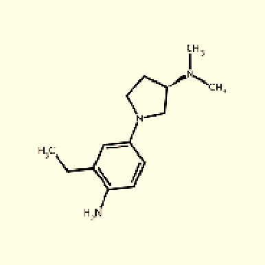 CCc1cc(N2CC[C@@H](N(C)C)C2)ccc1N